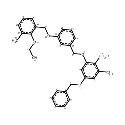 CCOC(=O)c1c(C)cc(OCc2ccccc2)cc1OCc1cccc(OCc2cccc(C)c2OCC#N)c1